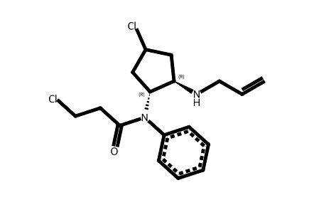 C=CCN[C@@H]1CC(Cl)C[C@H]1N(C(=O)CCCl)c1ccccc1